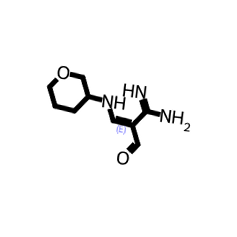 N=C(N)/C(C=O)=C\NC1CCCOC1